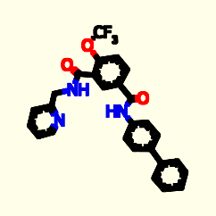 O=C(Nc1ccc(-c2ccccc2)cc1)c1ccc(OC(F)(F)F)c(C(=O)NCc2ccccn2)c1